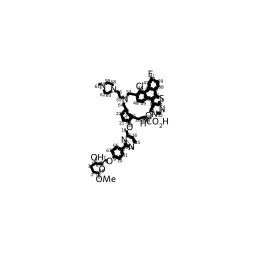 CO[C@@H]1CC[C@H](O)[C@@H](COc2ccc(-c3nccc(COc4ccc5cc4C[C@H](C(=O)O)Oc4ncnc6sc7c8ccc(F)cc8c8c(Cl)c(ccc8c7c46)CN(CCN4CCN(C)CC4)C5)n3)cc2)O1